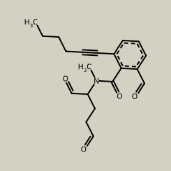 CCCCC#Cc1cccc(C=O)c1C(=O)N(C)C(C=O)CCC=O